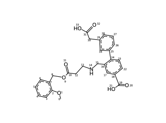 COc1ccccc1COC(=O)CCNCc1cc(C(=O)O)ccc1-c1cccc(CC(=O)O)c1